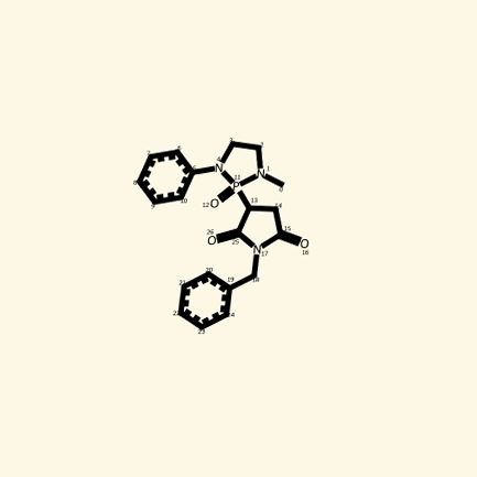 CN1CCN(c2ccccc2)P1(=O)C1CC(=O)N(Cc2ccccc2)C1=O